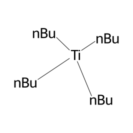 CCC[CH2][Ti]([CH2]CCC)([CH2]CCC)[CH2]CCC